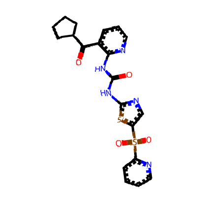 O=C(Nc1ncc(S(=O)(=O)c2ccccn2)s1)Nc1ncccc1C(=O)C1CCCC1